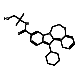 CC(C)(CO)NC(=O)C1=CC2C(=C(C3CCCCC3)C3=C4CC=CC=C4OCCN32)C=C1